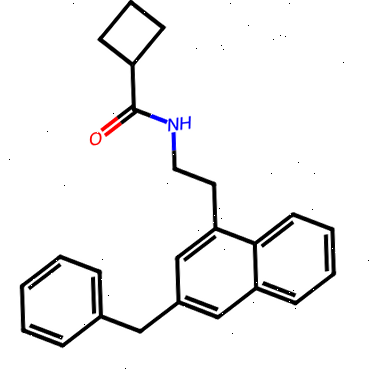 O=C(NCCc1cc(Cc2ccccc2)cc2ccccc12)C1CCC1